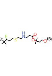 CCC(C)(C)C(F)CCSCCNCCC(=O)OC(C)(C)CCOC(C)(C)C